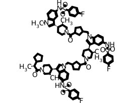 C[C@@H]1CN(C(=O)C2CCC(Cn3cc([C@@H]4CCN(C(=O)C5CCC(Cn6cc([C@@H]7CCN(C(=O)[C@H](C)C8CCCC8)C[C@@H]7C)c7cc(NS(=O)(=O)c8ccc(F)cc8)ccc76)C5)C[C@@H]4C)c4cc(NS(=O)(=O)c5ccc(F)cc5)ccc43)C2)CC[C@@H]1c1cn(C)c2ccc(NS(=O)(=O)c3ccc(F)cc3)cc12